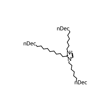 CCCCCCCCCCCCCCCCCCCc1n(CCCCCCCCCCCCCCCC)cc[n+]1CCCCCCCCCCCCCCCC